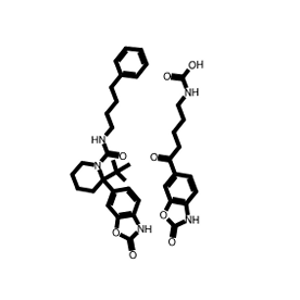 CC(C)(C)C1(c2ccc3[nH]c(=O)oc3c2)CCCCN1C(=O)NCCCCc1ccccc1.O=C(O)NCCCCC(=O)c1ccc2[nH]c(=O)oc2c1